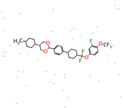 CC1CCC(C2COC(c3ccc(C4CCC(C(F)(F)Oc5ccc(OC(F)(F)F)c(F)c5)CC4)cc3)OC2)CC1